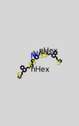 CCCCCCc1cc(-c2ccc(-c3ccc(-c4cc(CCCCCC)c(-c5ccc(/C=C/c6ccc(/C=C/c7cccs7)c7ccccc67)s5)s4)c4nsnc34)s2)sc1/C=C/c1ccc(/C=C/c2cccs2)c2ccccc12